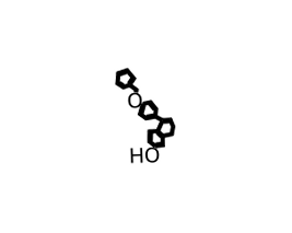 Oc1ccc2c(c1)CCC=C2c1ccc(OCc2ccccc2)cc1